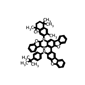 Cc1cc2c(cc1N1c3cc4c(oc5ccccc54)c4c3B(c3c1oc1ccccc31)N(c1ccc(C(C)(C)C)cc1)c1cc3oc5ccccc5c3cc1-4)C(C)(C)CCC2(C)C